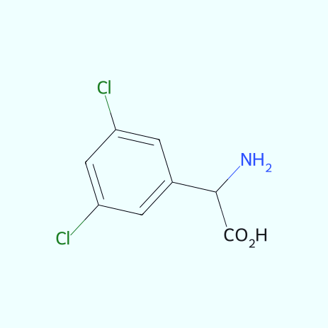 NC(C(=O)O)c1cc(Cl)cc(Cl)c1